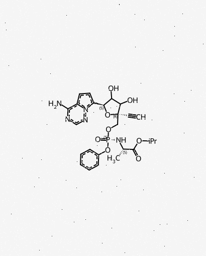 C#C[C@]1(CO[P@@](=O)(N[C@@H](C)C(=O)OC(C)C)Oc2ccccc2)O[C@@H](c2ccc3c(N)ncnn23)C(O)C1O